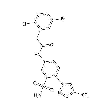 NS(=O)(=O)c1cc(NC(=O)Cc2cc(Br)ccc2Cl)ccc1-n1cc(C(F)(F)F)cn1